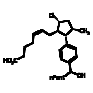 CCCCCC(O)c1ccc([C@@H]2[C@@H](C/C=C\CCCC(=O)O)[C@H](Cl)C[C@H]2C)cc1